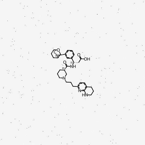 O=C(O)C[C@H](NC(=O)[C@@H]1CCCN(CCCc2ccc3c(n2)NCCC3)C1)c1cccc(N2CC3CCC2CO3)c1